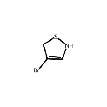 BrC1=CNS[C]1